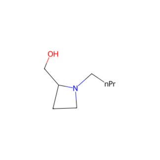 CCCCN1CCC1CO